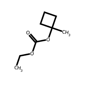 CCOC(=O)OC1(C)CCC1